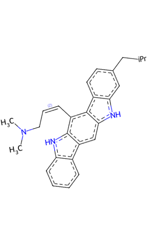 CC(C)Cc1ccc2c(c1)[nH]c1cc3c([nH]c4ccccc43)c(/C=C\CN(C)C)c12